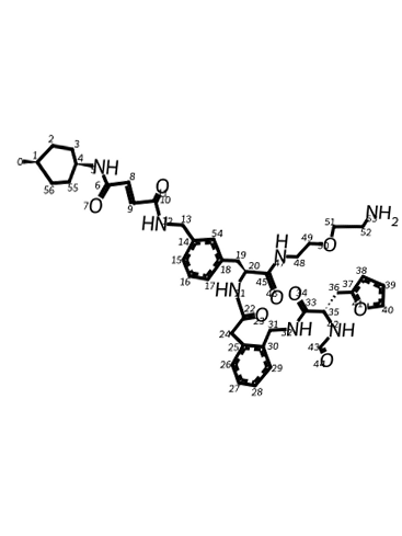 C[C@H]1CC[C@@H](NC(=O)/C=C/C(=O)NCc2cccc(C[C@H](NC(=O)Cc3ccccc3CNC(=O)[C@H](Cc3ccco3)NC=O)C(=O)NCCOCCN)c2)CC1